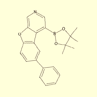 CC1(C)OB(c2cncc3oc4ccc(-c5ccccc5)cc4c23)OC1(C)C